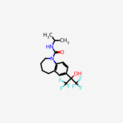 CC(C)NC(=O)N1CCCCc2cc(C(O)(C(F)(F)F)C(F)(F)F)ccc21